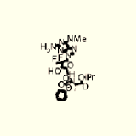 CNc1nc(N)nc2c1ncn2C1OC(COP(=O)(N[C@@H](C)C(=O)OC(C)C)Oc2ccccc2)C(O)[C@]1(F)CF